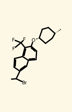 CC(Br)c1ccc2c(C(F)(F)F)c(O[C@H]3CC[C@@H](C)CC3)ccc2c1